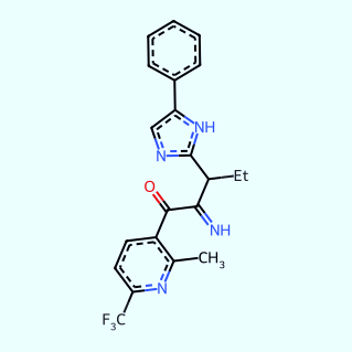 CCC(C(=N)C(=O)c1ccc(C(F)(F)F)nc1C)c1ncc(-c2ccccc2)[nH]1